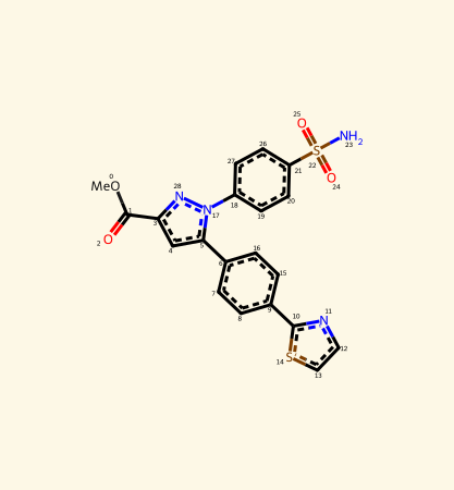 COC(=O)c1cc(-c2ccc(-c3nccs3)cc2)n(-c2ccc(S(N)(=O)=O)cc2)n1